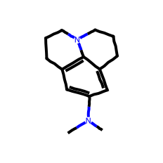 CN(C)c1cc2c3c(c1)CCCN3CCC2